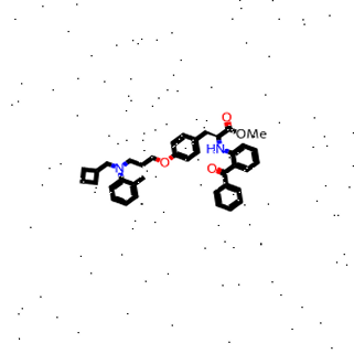 COC(=O)[C@H](Cc1ccc(OCCCN(CC2CCC2)c2ccccc2C)cc1)Nc1ccccc1C(=O)c1ccccc1